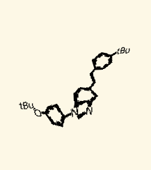 CC(C)(C)Oc1ccc(-n2cnc3cc(/C=C/c4ccc(C(C)(C)C)cc4)ccc32)cc1